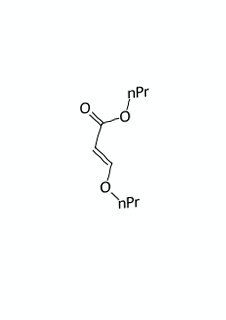 CCCOC=CC(=O)OCCC